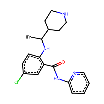 CC(C)C(Nc1ccc(Cl)cc1C(=O)Nc1ccccn1)C1CCNCC1